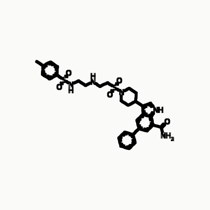 Cc1ccc(S(=O)(=O)NCCNCCS(=O)(=O)N2CCC(c3c[nH]c4c(C(N)=O)cc(-c5ccccc5)cc34)CC2)cc1